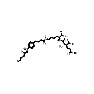 O=C(O)CCC(C(=O)O)N(O)C(=O)NC(CCCCNC(=O)CCCc1ccc(-n2cc(CCCF)nn2)cc1)C(=O)O